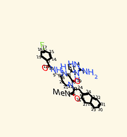 CCC(NC(=N)N)[C@H]1N[C@@H](CNC(=O)c2ccc(F)cc2)CCN([C@@H](Cc2ccc3ccccc3c2)C(=O)NC)C1=O